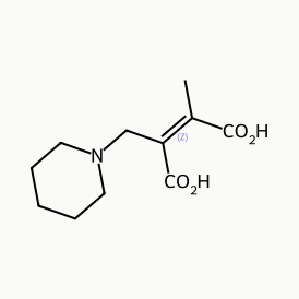 C/C(C(=O)O)=C(\CN1CCCCC1)C(=O)O